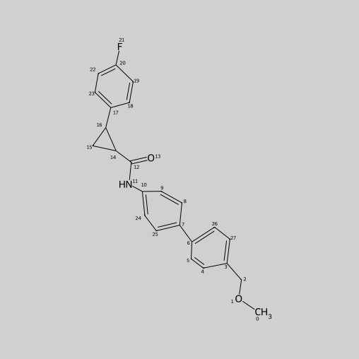 COCc1ccc(-c2ccc(NC(=O)C3CC3c3ccc(F)cc3)cc2)cc1